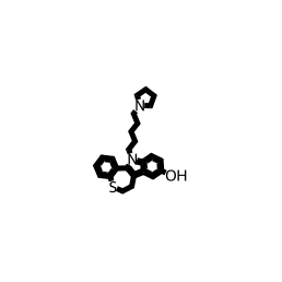 Oc1ccc2c(c1)c1c(n2CCCCCN2CCCC2)-c2ccccc2SCC1